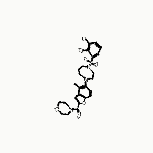 Cc1c(N2CCCN(S(=O)(=O)c3cccc(Cl)c3Cl)CC2)ccc2oc(C(=O)N3CCOCC3)cc12